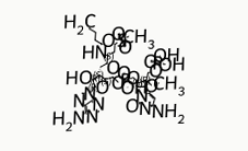 C=CCCC(=O)N[C@@H](CCS(C)(=O)=O)C(=O)C[C@H]1[C@@H](O)[C@H](n2cnc3c(N)ncnc32)O[C@@H]1COP(=O)(O)O[C@@H](Cn1ccc(N)nc1=O)[C@@H](COP(=O)(O)O)OC